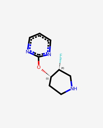 F[C@@H]1CNCC[C@@H]1Oc1ncccn1